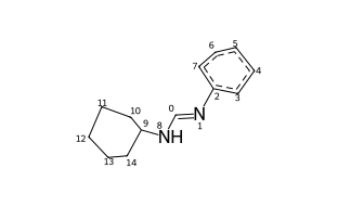 C(=Nc1ccccc1)NC1CCCCC1